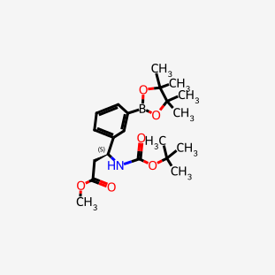 COC(=O)C[C@H](NC(=O)OC(C)(C)C)c1cccc(B2OC(C)(C)C(C)(C)O2)c1